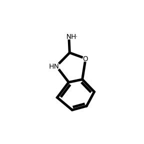 [NH]C1Nc2ccccc2O1